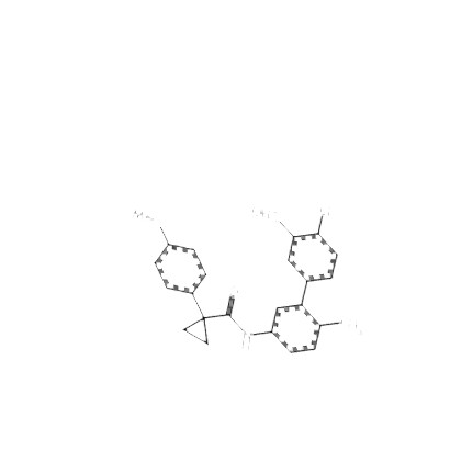 COc1ccc(C2(C(=O)Nc3ccc(C)c(-c4ccc(Cl)c(C=O)c4)c3)CC2)cc1